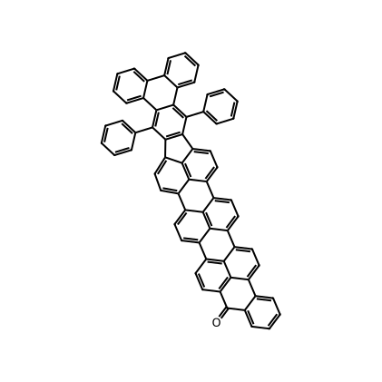 O=C1c2ccccc2-c2ccc3c4ccc5c6ccc7c8c(ccc(c9ccc(c%10ccc1c2c%103)c4c95)c86)-c1c-7c(-c2ccccc2)c2c3ccccc3c3ccccc3c2c1-c1ccccc1